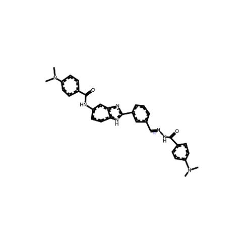 CN(C)c1ccc(C(=O)N/N=C/c2cccc(-c3nc4cc(NC(=O)c5ccc(N(C)C)cc5)ccc4[nH]3)c2)cc1